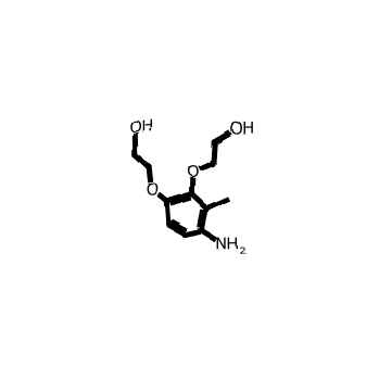 Cc1c(N)ccc(OCCO)c1OCCO